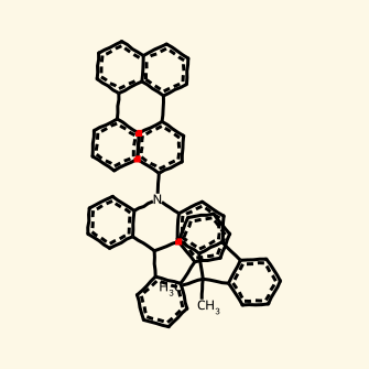 CC1(C)c2ccccc2-c2ccc(N(c3ccc(-c4cccc5cccc(-c6ccccc6)c45)cc3)c3ccccc3C3c4ccccc4-c4ccccc43)cc21